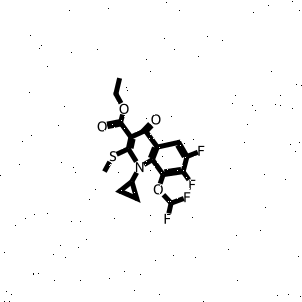 CCOC(=O)c1c(SC)n(C2CC2)c2c(OC(F)F)c(F)c(F)cc2c1=O